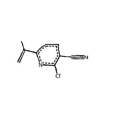 C=C(C)c1ccc(C#N)c(Cl)n1